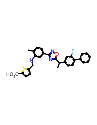 Cc1ccc(-c2noc(C(C)c3ccc(-c4ccccc4)c(F)c3)n2)cc1NCc1ccc(C(=O)O)s1